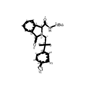 CCCCNC(=O)C1c2ccccc2C(=O)N1CC(C)(C)c1ccc(Cl)cc1